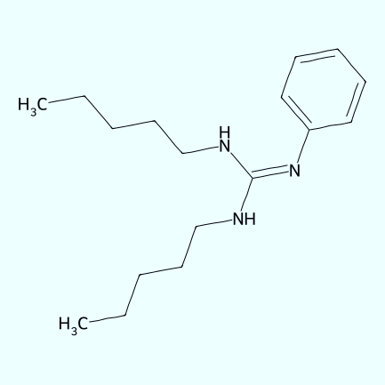 CCCCCNC(=Nc1ccccc1)NCCCCC